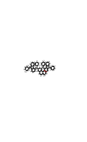 c1ccc(N(c2cc(N(c3ccccc3)c3cccc4c3c3ccccc3n4-c3ccccc3)c3c(ccc4ccccc43)c2)c2cccc3c2c2ccccc2n3-c2ccccc2)cc1